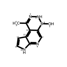 CC1=NNB(O)c2cnc3[nH]ccc3c21